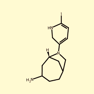 NC1CCC2C[C@H](C1)N(C1=CC=C(I)NC1)C2